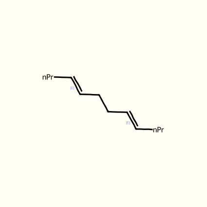 CCC/C=C/CC/C=C/CCC